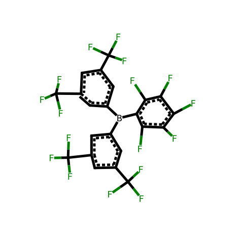 Fc1c(F)c(F)c(B(c2cc(C(F)(F)F)cc(C(F)(F)F)c2)c2cc(C(F)(F)F)cc(C(F)(F)F)c2)c(F)c1F